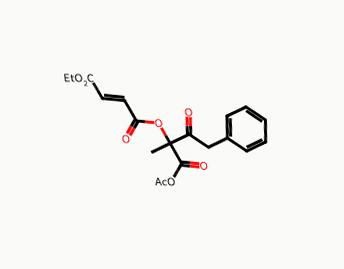 CCOC(=O)C=CC(=O)OC(C)(C(=O)Cc1ccccc1)C(=O)OC(C)=O